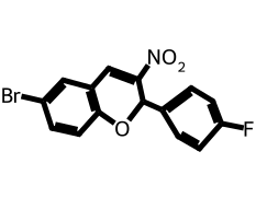 O=[N+]([O-])C1=Cc2cc(Br)ccc2OC1c1ccc(F)cc1